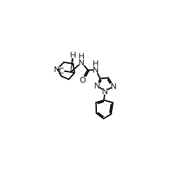 O=C(Nc1cnn(-c2ccccc2)n1)N[C@H]1CN2CCC1CC2